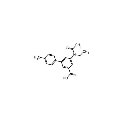 CCN(C(C)=O)c1cc(C(=O)O)cc(-c2ccc(C)cc2)c1